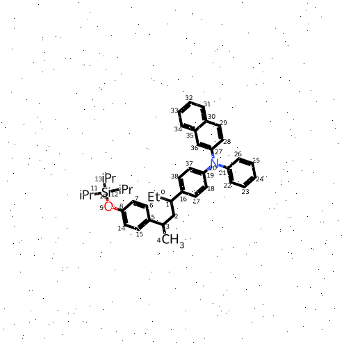 CCC(CC(C)c1ccc(O[Si](C(C)C)(C(C)C)C(C)C)cc1)c1ccc(N(c2ccccc2)c2ccc3ccccc3c2)cc1